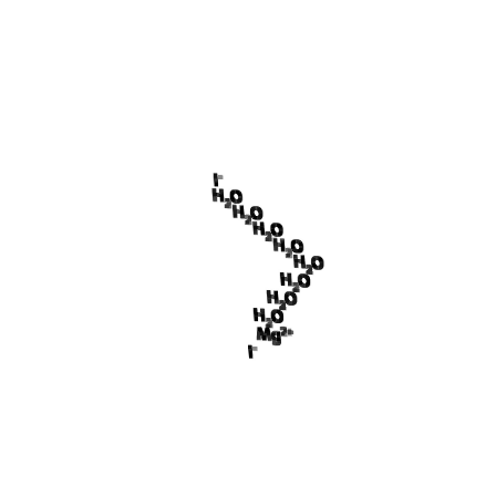 O.O.O.O.O.O.O.O.[I-].[I-].[Mg+2]